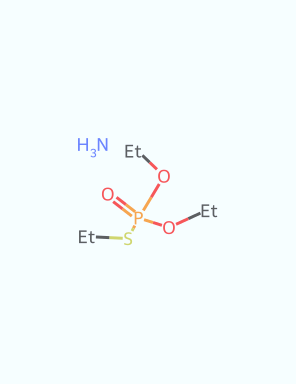 CCOP(=O)(OCC)SCC.N